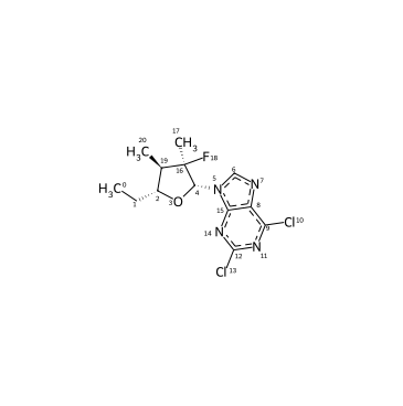 CC[C@H]1O[C@@H](n2cnc3c(Cl)nc(Cl)nc32)[C@](C)(F)[C@@H]1C